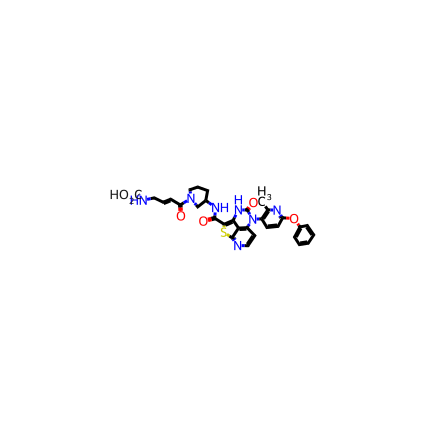 Cc1nc(Oc2ccccc2)ccc1N1C(=O)Nc2c(C(=O)NC3CCCN(C(=O)/C=C/CNC(=O)O)C3)sc3nccc1c23